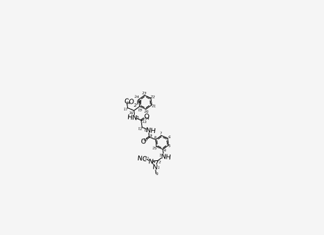 CN1C(Nc2cccc(C(=O)NCC(=O)NC(CC(=O)O)c3ccccc3)c2)N1C#N